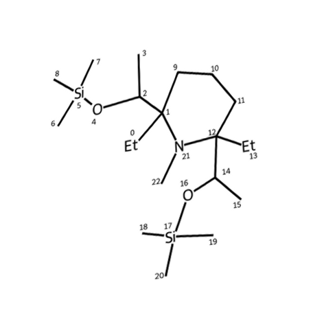 CCC1(C(C)O[Si](C)(C)C)CCCC(CC)(C(C)O[Si](C)(C)C)N1C